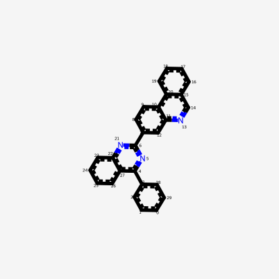 c1ccc(-c2nc(-c3ccc4c(c3)ncc3ccccc34)nc3ccccc23)cc1